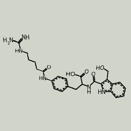 N=C(N)NCCCCC(=O)Nc1ccc(CC(NC(=O)c2[nH]c3ccccc3c2CO)C(=O)O)cc1